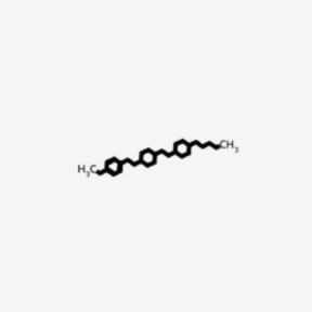 CCCCCC1CCC(CCC2CCC(CCc3ccc(CC)cc3)CC2)CC1